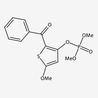 COc1cc(OP(=O)(OC)OC)c(C(=O)c2ccccc2)s1